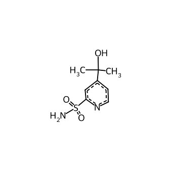 CC(C)(O)c1ccnc(S(N)(=O)=O)c1